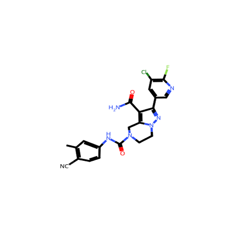 Cc1cc(NC(=O)N2CCn3nc(-c4cnc(F)c(Cl)c4)c(C(N)=O)c3C2)ccc1C#N